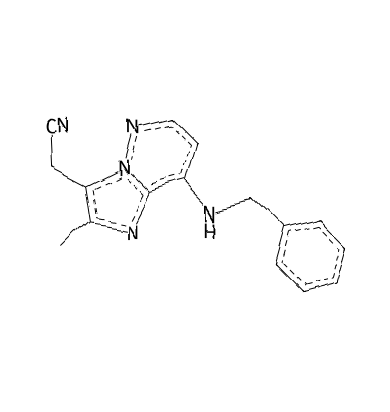 Cc1nc2c(NCc3ccccc3)ccnn2c1CC#N